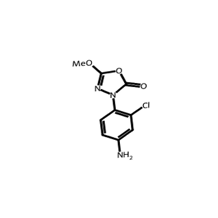 COc1nn(-c2ccc(N)cc2Cl)c(=O)o1